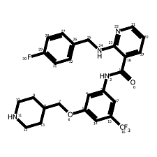 O=C(Nc1cc(OCC2CCNCC2)cc(C(F)(F)F)c1)c1cccnc1NCc1ccc(F)cc1